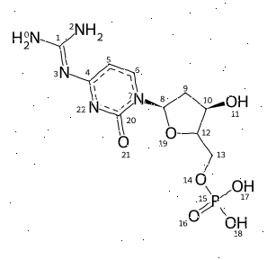 NC(N)=Nc1ccn([C@H]2C[C@@H](O)C(COP(=O)(O)O)O2)c(=O)n1